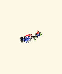 CN(c1ccc(-c2cc(F)c(-c3ccn(CF)c(=O)c3)cc2O)nn1)C1C[C@]2(C)CCC[C@](C)(C1)N2